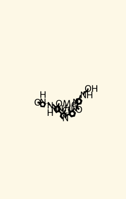 COc1nc(-c2ccnc(-c3cccc(NC(=O)c4ccc(CNCCO)cn4)c3C)c2Cl)cnc1CNC[C@@H]1CCC(=O)N1